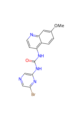 COc1ccc2c(NC(=O)Nc3cncc(Br)n3)ccnc2c1